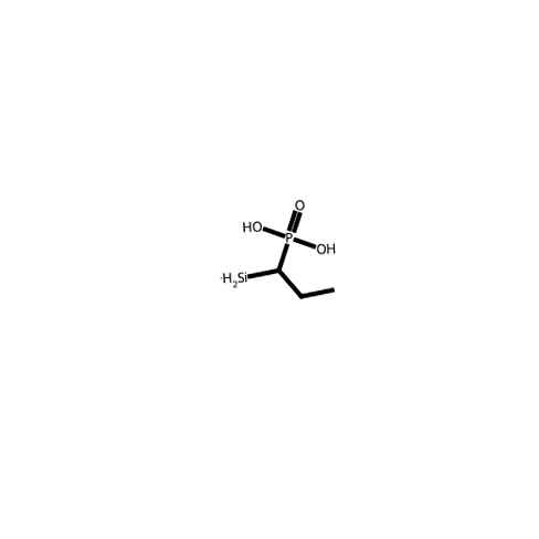 CCC([SiH2])P(=O)(O)O